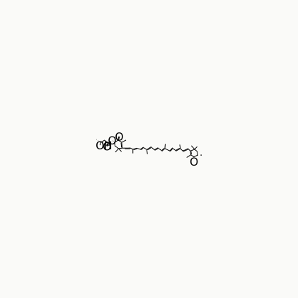 CC1=C(/C=C/C(C)=C/C=C/C(C)=C/C=C/C=C(C)/C=C/C=C(C)/C=C/C2=C(C)C(=O)[C@@H](OC(=O)C[C@@H](C)O)CC2(C)C)C(C)(C)C[CH]C1=O